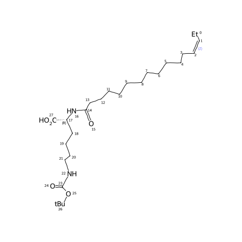 CC/C=C\CCCCCCCCCCCC(=O)N[C@H](CCCCNC(=O)OC(C)(C)C)C(=O)O